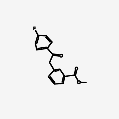 COC(=O)c1cccc(CC(=O)c2ccc(F)cc2)c1